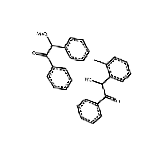 COC(C(=O)c1ccccc1)c1ccccc1.[CH2]c1ccccc1C(O)C(=O)c1ccccc1